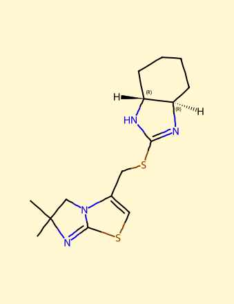 CC1(C)CN2C(CSC3=N[C@@H]4CCCC[C@H]4N3)=CSC2=N1